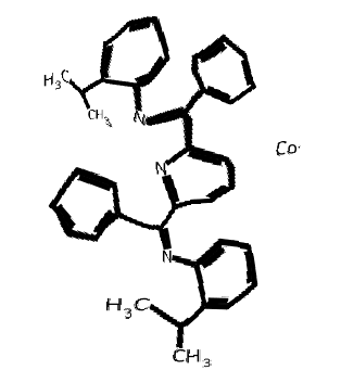 CC(C)c1ccccc1N=C(c1ccccc1)c1cccc(C(=Nc2ccccc2C(C)C)c2ccccc2)n1.[Co]